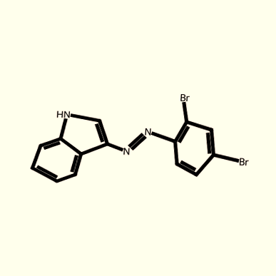 Brc1ccc(/N=N/c2c[nH]c3ccccc23)c(Br)c1